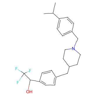 CC(C)c1ccc(CN2CCC(Cc3ccc(C(O)C(F)(F)F)cc3)CC2)cc1